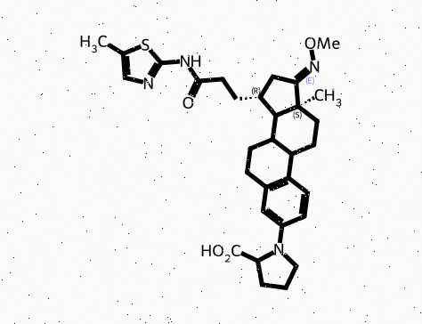 CO/N=C1\C[C@@H](CCC(=O)Nc2ncc(C)s2)C2C3CCc4cc(N5CCCC5C(=O)O)ccc4C3CC[C@]12C